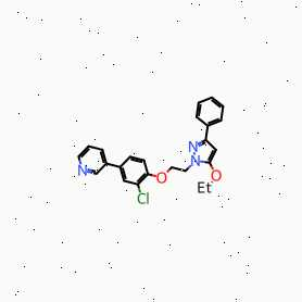 CCOc1cc(-c2ccccc2)nn1CCOc1ccc(-c2cccnc2)cc1Cl